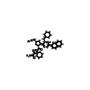 [N-]=[N+]=N[C@H]1C[C@@H](C(=O)NC2(C(=O)C(N)=O)CCCCC2)N(C(=O)[C@@H](CC2CCCCC2)NC(=O)c2ccc3ccccc3c2)C1